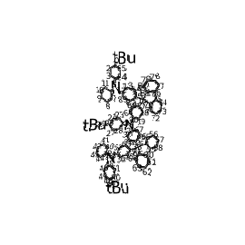 CC(C)(C)c1ccc(N(c2ccccc2)c2ccc(C3(c4ccc(N(c5ccc(C(C)(C)C)cc5)c5ccc(C6(c7ccc(N(c8ccccc8)c8ccc(C(C)(C)C)cc8)cc7)c7ccccc7-c7ccccc76)cc5)cc4)c4ccccc4-c4ccccc43)cc2)cc1